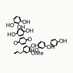 C=CCc1ccc(O)c(OC)c1.O=C1C=CC(=O)C=C1.Oc1ccc(O)cc1.Oc1cccc(O)c1.Oc1cccc(O)c1O.Oc1ccccc1